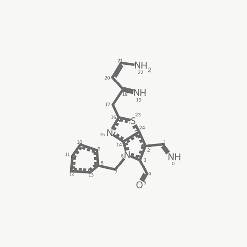 N=Cc1c(C=O)n(Cc2ccccc2)c2nc(CC(=N)/C=C\N)sc12